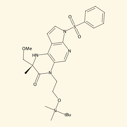 COC[C@]1(C)Nc2c(cnc3c2ccn3S(=O)(=O)c2ccccc2)N(CCO[Si](C)(C)C(C)(C)C)C1=O